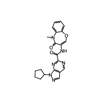 CN1C(=O)C(NC(=O)c2ncc3cnn(C4CCCC4)c3n2)=COc2ccccc21